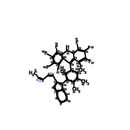 C/C=C\C=C/c1cc2ccccc2n1-c1c(C)c(C)c(C)c(C2=C3C(F)=C(F)C(F)=C(F)C3Nc3c(F)c(F)c(F)c(F)c32)c1C